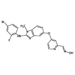 Cn1c(Nc2ccc(Br)cc2F)nc2cc(Oc3ccnc(/C=N/O)c3)ccc21